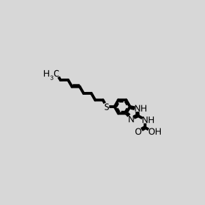 CCCC=CCCCCSc1ccc2[nH]c(NC(=O)O)nc2c1